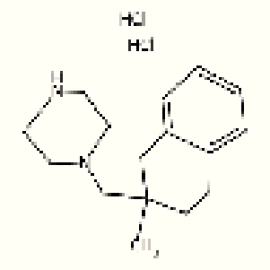 CC1(CN2CCNCC2)CCc2ccccc2C1.Cl.Cl